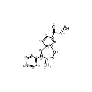 CC1COc2cc(C(=O)NO)ccc2CN1c1ccncc1